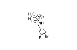 CC(C)(C)S(=O)(=O)NCc1ccc(Br)c(F)c1